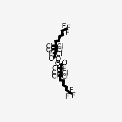 O=C(OOC(=O)C(F)(Cl)C(Cl)(Cl)C(Cl)(Cl)CCCCCC(F)(F)F)C(F)(Cl)C(Cl)(Cl)C(Cl)(Cl)CCCCCC(F)(F)F